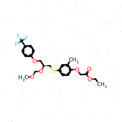 CCOC(=O)COc1ccc(SC[C@H](COc2ccc(C(F)(F)F)cc2)OCOC)cc1C